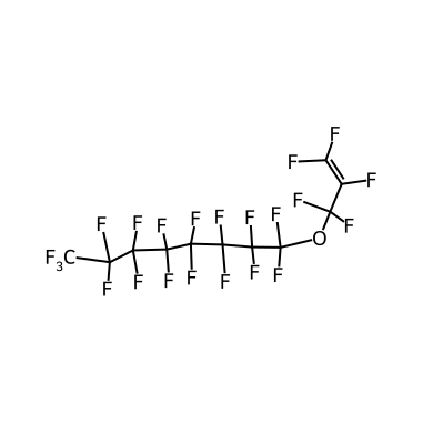 FC(F)=C(F)C(F)(F)OC(F)(F)C(F)(F)C(F)(F)C(F)(F)C(F)(F)C(F)(F)C(F)(F)C(F)(F)F